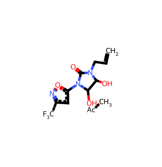 C=CCN1C(=O)N(c2cc(C(F)(F)F)no2)C(O)C1O.CC(C)=O